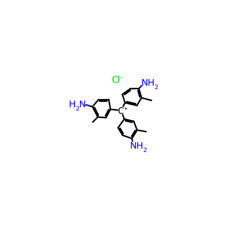 Cc1cc([C+](c2ccc(N)c(C)c2)c2ccc(N)c(C)c2)ccc1N.[Cl-]